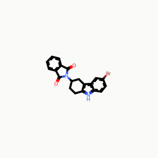 O=C1c2ccccc2C(=O)N1C1CCc2[nH]c3ccc(Br)cc3c2C1